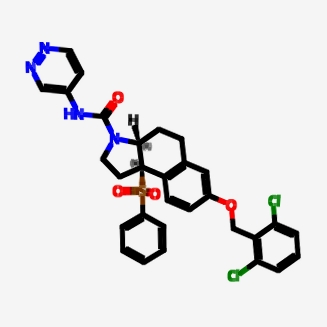 O=C(Nc1ccnnc1)N1CC[C@@]2(S(=O)(=O)c3ccccc3)c3ccc(OCc4c(Cl)cccc4Cl)cc3CC[C@@H]12